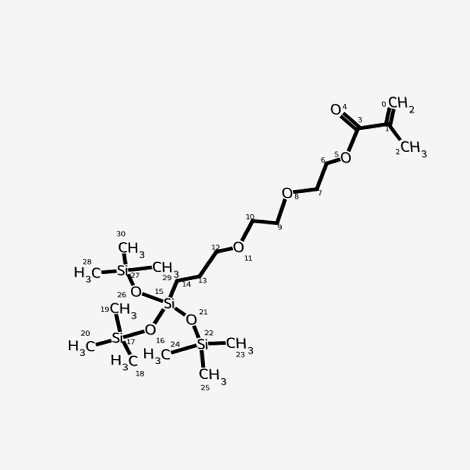 C=C(C)C(=O)OCCOCCOCCC[Si](O[Si](C)(C)C)(O[Si](C)(C)C)O[Si](C)(C)C